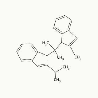 CC1=Cc2ccccc2C1C(C)(C)C1C(C(C)C)=Cc2ccccc21